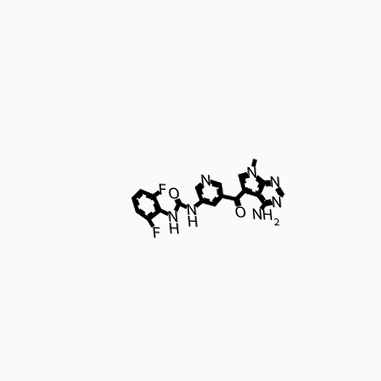 Cn1cc(C(=O)c2cncc(NC(=O)Nc3c(F)cccc3F)c2)c2c(N)ncnc21